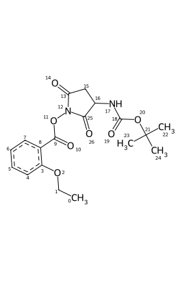 CCOc1ccccc1C(=O)ON1C(=O)CC(NC(=O)OC(C)(C)C)C1=O